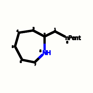 CCCCCCC1CCCCCN1